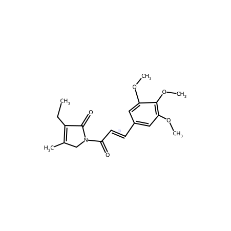 CCC1=C(C)CN(C(=O)/C=C/c2cc(OC)c(OC)c(OC)c2)C1=O